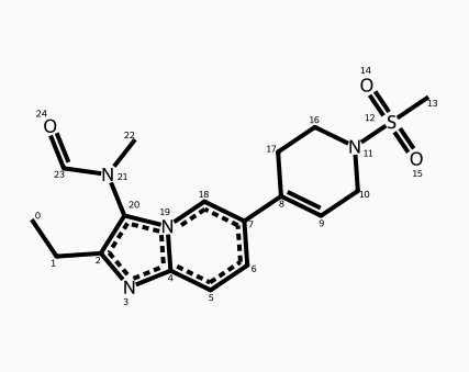 CCc1nc2ccc(C3=CCN(S(C)(=O)=O)CC3)cn2c1N(C)C=O